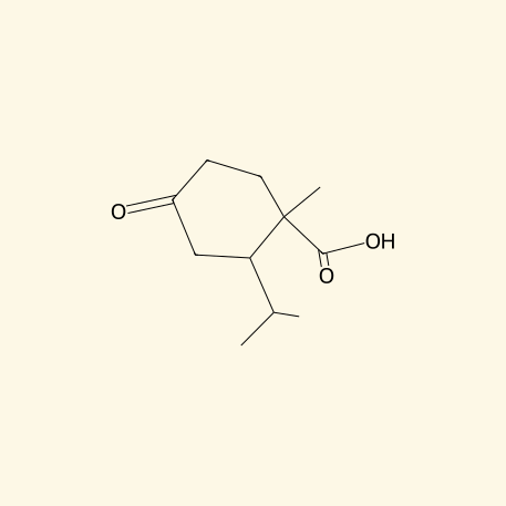 CC(C)C1CC(=O)CCC1(C)C(=O)O